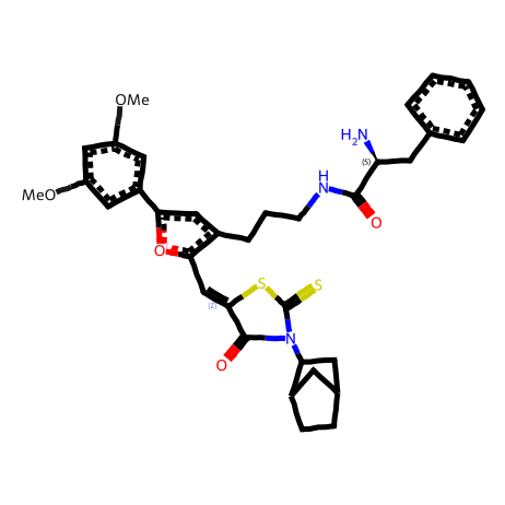 COc1cc(OC)cc(-c2cc(CCCNC(=O)[C@@H](N)Cc3ccccc3)c(/C=C3\SC(=S)N(C4CC5CCC4C5)C3=O)o2)c1